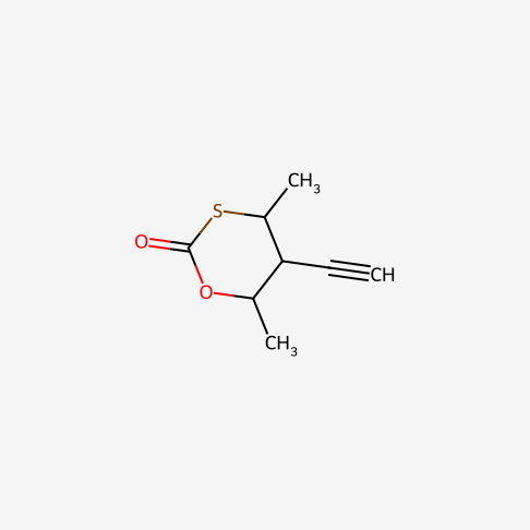 C#CC1C(C)OC(=O)SC1C